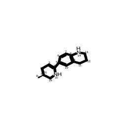 C[C@H]1CC=C(c2ccc3c(c2)CCCN3)NC1